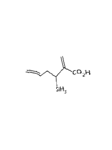 C=CCC([SiH3])C(=C)C(=O)O